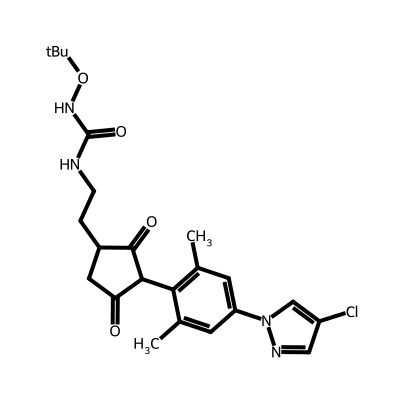 Cc1cc(-n2cc(Cl)cn2)cc(C)c1C1C(=O)CC(CCNC(=O)NOC(C)(C)C)C1=O